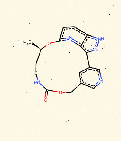 C[C@@H]1CCNC(=O)OCc2cncc(c2)-c2n[nH]c3ccc(nc23)O1